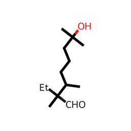 CCC(C)(C=O)C(C)CCCC(C)(C)O